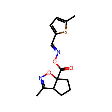 CC1=NOC2(C(=O)O/N=C/c3ccc(C)s3)CCCC12